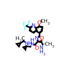 C=C(NC1(CNC(=O)c2nc(-c3ccc(OC)c4nc(C(F)(F)F)ccc34)oc2[C@H](C)N)CC1)C1CC1